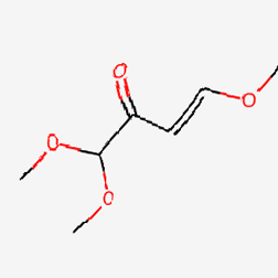 COC=CC(=O)C(OC)OC